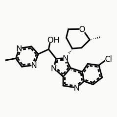 Cc1cnc(C(O)c2nc3cnc4ccc(Cl)cc4c3n2[C@@H]2CCO[C@H](C)C2)cn1